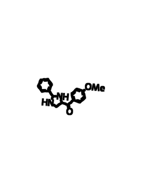 COc1ccc(C(=O)C2CNC(c3ccccc3)N2)cc1